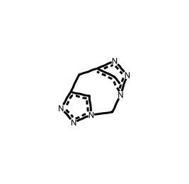 c1c2nnn1Cn1cc(nn1)C2